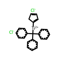 C1=CC[C]([Ti+2][C](c2ccccc2)(c2ccccc2)c2ccccc2)=C1.[Cl-].[Cl-]